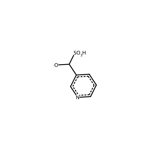 [O]C(c1cccnc1)S(=O)(=O)O